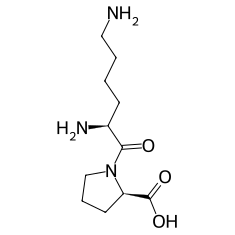 NCCCC[C@H](N)C(=O)N1CCC[C@@H]1C(=O)O